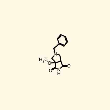 COC12CN(Cc3ccccc3)CC1C(=O)NC2=O